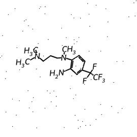 CN(C)CCCN(C)c1ccc(C(F)(F)C(F)(F)F)cc1N